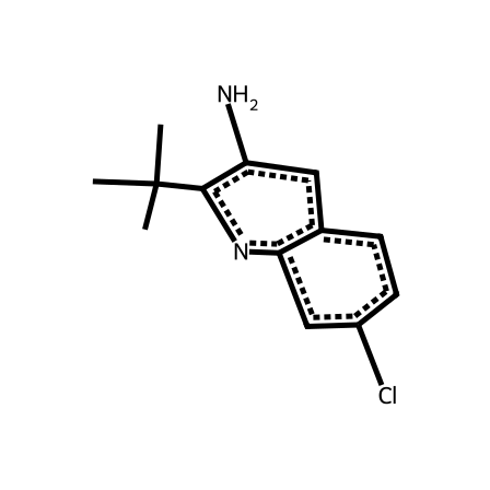 CC(C)(C)c1nc2cc(Cl)ccc2cc1N